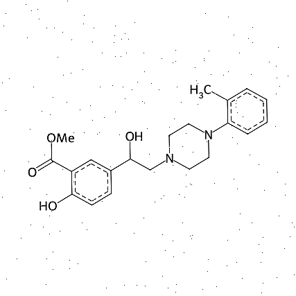 COC(=O)c1cc(C(O)CN2CCN(c3ccccc3C)CC2)ccc1O